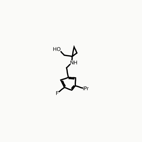 CC(C)c1cc(F)cc(CNC2(CO)CC2)c1